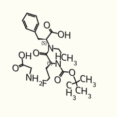 CCN(C(=O)[C@H](CCF)NC(=O)OC(C)(C)C)[C@@H](Cc1ccccc1)C(=O)O.NCC(=O)O